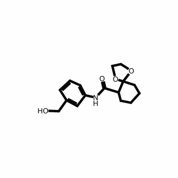 O=C(Nc1cccc(CO)c1)C1CCCCC12OCCO2